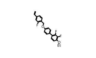 C=Cc1ccc(COc2ccc(-c3ccc(OCC)c(F)c3F)cc2)c(F)c1